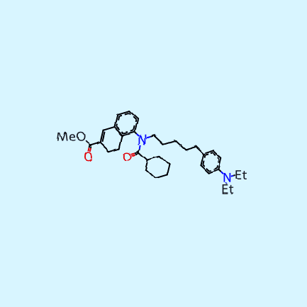 CCN(CC)c1ccc(CCCCCN(C(=O)C2CCCCC2)c2cccc3c2CCC(C(=O)OC)=C3)cc1